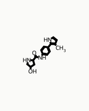 Cc1cc[nH]c1-c1ccc(NC(=O)C2CC(O)CN2)cc1